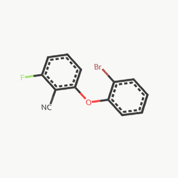 N#Cc1c(F)cccc1Oc1ccccc1Br